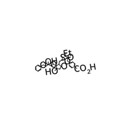 CCC(SCCC1C(=O)CC(O)C1OCC(O)COc1ccccc1)C(=O)Oc1ccc(C(=O)O)cc1